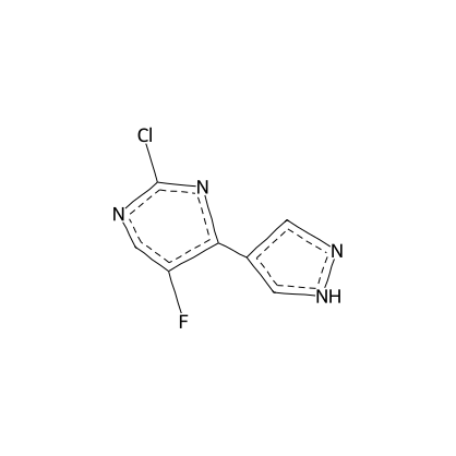 Fc1cnc(Cl)nc1-c1cn[nH]c1